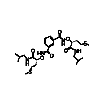 CSCC[C@@H](ONC(=O)c1cccc(C(=O)NO[C@H](CCSC)C(=O)NCC(C)C)c1)C(=O)NCC(C)C